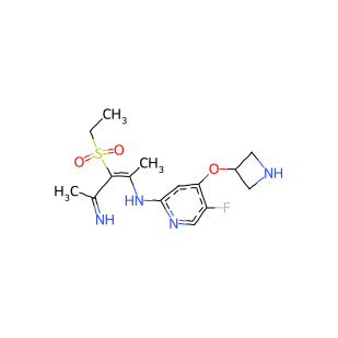 CCS(=O)(=O)/C(C(C)=N)=C(\C)Nc1cc(OC2CNC2)c(F)cn1